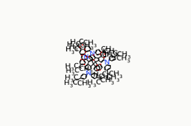 CC(C)(C)c1ccc(N(c2ccc(C(C)(C)C)cc2)c2ccc3c(c2)C(c2ccccc2)(C2(c4ccccc4)c4cc(N(c5ccc(C(C)(C)C)cc5)c5ccc(C(C)(C)C)cc5)ccc4-c4c2cc(N(c2ccc(C(C)(C)C)cc2)c2ccc(C(C)(C)C)cc2)c2ccccc42)c2cc(N(c4ccc(C(C)(C)C)cc4)c4ccc(C(C)(C)C)cc4)c4ccccc4c2-3)cc1